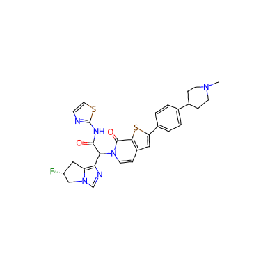 CN1CCC(c2ccc(-c3cc4ccn(C(C(=O)Nc5nccs5)c5ncn6c5C[C@@H](F)C6)c(=O)c4s3)cc2)CC1